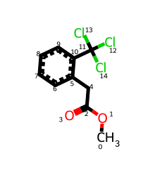 COC(=O)Cc1ccccc1C(Cl)(Cl)Cl